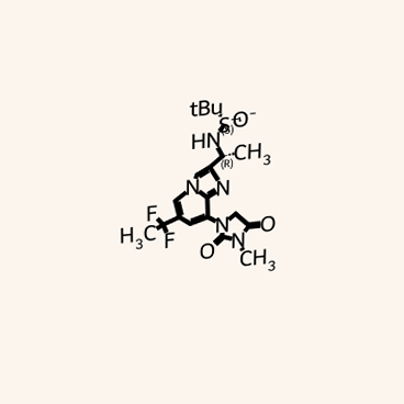 C[C@@H](N[S@+]([O-])C(C)(C)C)c1cn2cc(C(C)(F)F)cc(N3CC(=O)N(C)C3=O)c2n1